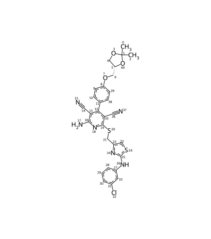 CC1(C)OC[C@@H](COc2ccc(-c3c(C#N)c(N)nc(SCc4csc(Nc5cccc(Cl)c5)n4)c3C#N)cc2)O1